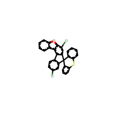 Clc1ccc2c(c1)C1(c3ccccc3Sc3ccccc31)c1cc(Cl)c3oc4ccccc4c3c1-2